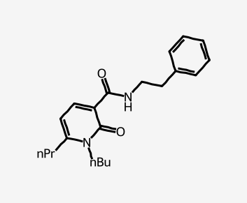 CCCCn1c(CCC)ccc(C(=O)NCCc2ccccc2)c1=O